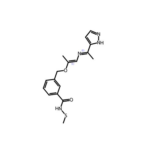 CSNC(=O)c1cccc(CO/C(C)=C/N=C(\C)c2ccn[nH]2)c1